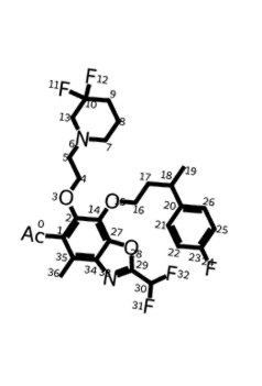 CC(=O)c1c(OCCN2CCCC(F)(F)C2)c(OCCC(C)c2ccc(F)cc2)c2oc(C(F)F)nc2c1C